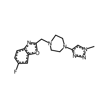 Cn1cc(N2CCN(Cc3nc4ccc(F)cc4o3)CC2)nn1